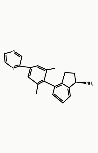 Cc1cc(-c2cnccn2)cc(C)c1-c1cccc2c1CC[C@H]2N